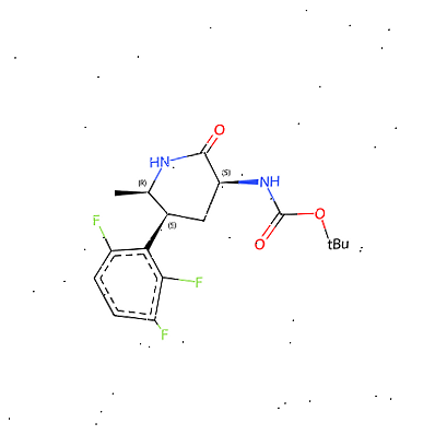 C[C@H]1NC(=O)[C@@H](NC(=O)OC(C)(C)C)C[C@H]1c1c(F)ccc(F)c1F